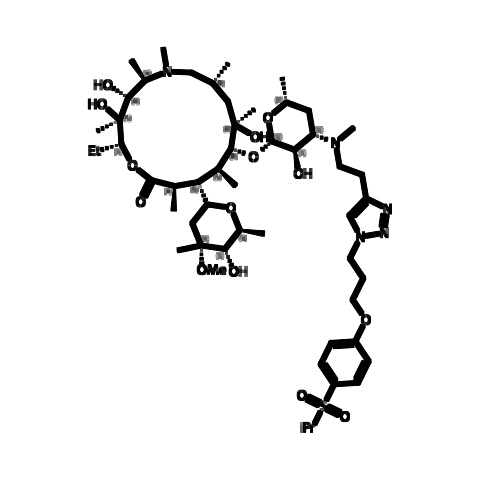 CC[C@H]1OC(=O)[C@H](C)[C@@H](C2C[C@@](C)(OC)[C@@H](O)[C@H](C)O2)[C@H](C)[C@@H](O[C@@H]2O[C@H](C)C[C@H](N(C)CCc3cn(CCCOc4ccc(S(=O)(=O)C(C)C)cc4)nn3)[C@H]2O)[C@](C)(O)C[C@@H](C)CN(C)[C@H](C)[C@@H](O)[C@]1(C)O